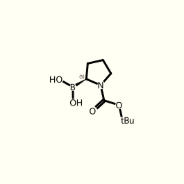 CC(C)(C)OC(=O)N1CCC[C@@H]1B(O)O